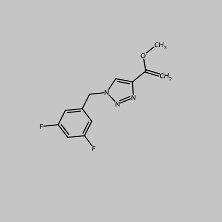 C=C(OC)c1cn(Cc2cc(F)cc(F)c2)nn1